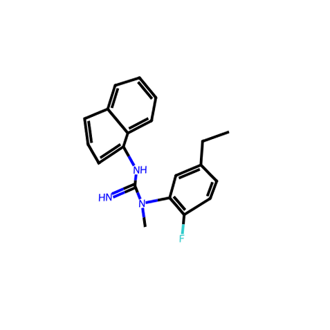 CCc1ccc(F)c(N(C)C(=N)Nc2cccc3ccccc23)c1